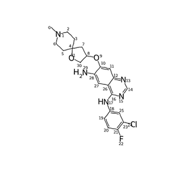 CN1CCC2(CC1)CC(Oc1cc3ncnc(Nc4ccc(F)c(Cl)c4)c3cc1N)CO2